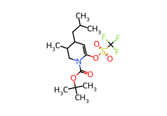 CC(C)CC1C=C(OS(=O)(=O)C(F)(F)F)N(C(=O)OC(C)(C)C)CC1C